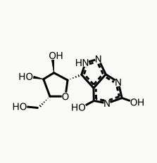 OC[C@H]1O[C@@H](c2[nH]nc3nc(O)nc(O)c23)[C@H](O)[C@@H]1O